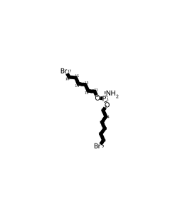 NP(OCCCCCCBr)OCCCCCCBr